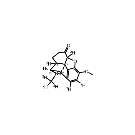 [2H]c1c([2H])c(OC)c2c3c1C[C@H]1N(C([2H])([2H])[2H])CC[C@@]34C([2H])(O2)C(=O)CC[C@@]14[2H]